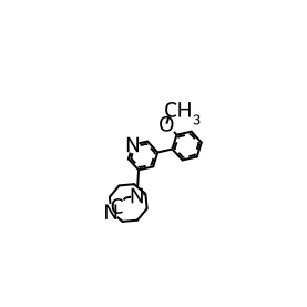 COc1ccccc1-c1cncc(N2CCN3CCCC2CCC3)c1